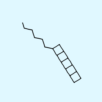 O=C(O)CCCCCC1CC2C1C1C3C4CCC4C3C21